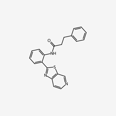 O=C(CCc1ccccc1)Nc1ccccc1-c1nc2ccncc2s1